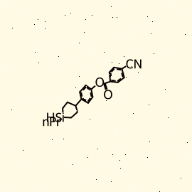 CCC[SiH]1CCC(c2ccc(OC(=O)c3ccc(C#N)cc3)cc2)CC1